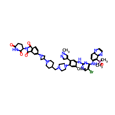 COc1cc(N2CCN(CC3CCN(C4CN(c5ccc6c(c5)C(=O)N(C5CCC(=O)NC5=O)C6=O)C4)CC3)CC2)c(-c2cnn(C)c2)cc1Nc1ncc(Br)c(Nc2ccc3nccnc3c2P(C)(C)=O)n1